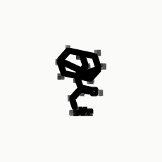 CSCC(=O)C12CC3CC(CC(C3)C1)C2